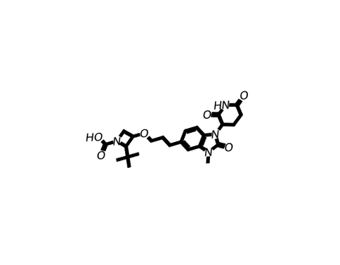 Cn1c(=O)n(C2CCC(=O)NC2=O)c2ccc(CCCOC3CN(C(=O)O)C3C(C)(C)C)cc21